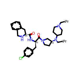 CC(C)CN1CCC(N(CC(C)C)[C@H]2CCN(C(=O)[C@@H](Cc3ccc(Cl)cc3)NC(=O)[C@H]3Cc4ccccc4CN3)C2)CC1